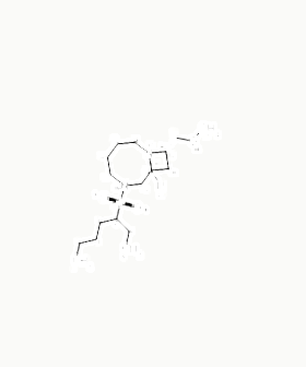 CCCCC(CC)S(=O)(=O)N1CCCCN2[C@H](COC)C[C@@H]2C1